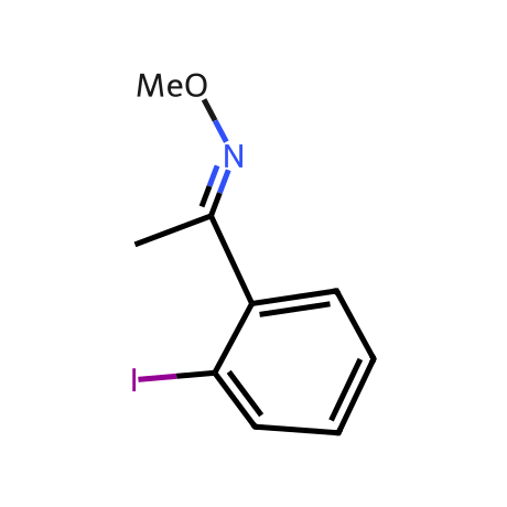 CO/N=C(\C)c1ccccc1I